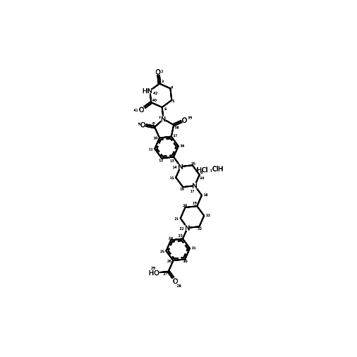 Cl.Cl.O=C1CCC(N2C(=O)c3ccc(N4CCN(CC5CCN(c6ccc(C(=O)O)cc6)CC5)CC4)cc3C2=O)C(=O)N1